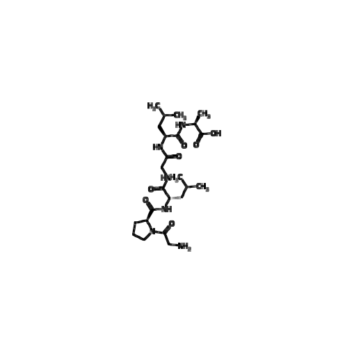 CC(C)C[C@H](NC(=O)CNC(=O)[C@H](CC(C)C)NC(=O)[C@@H]1CCCN1C(=O)CN)C(=O)N[C@@H](C)C(=O)O